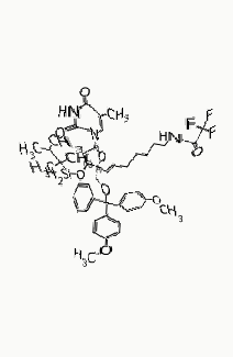 COc1ccc(C(OC[C@@]2(C=CCCCCCNC(=O)C(F)(F)F)O[C@@H](n3cc(C)c(=O)[nH]c3=O)C[C@@H]2O[SiH2]C(C)(C)C(C)C)(c2ccccc2)c2ccc(OC)cc2)cc1